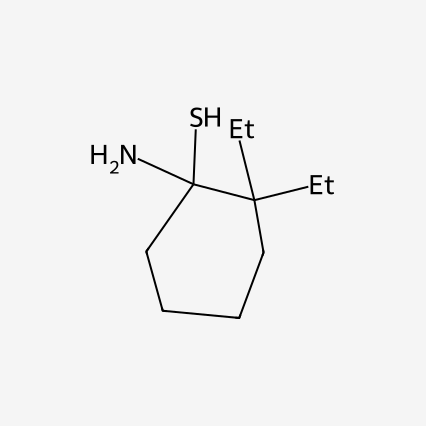 CCC1(CC)CCCCC1(N)S